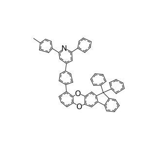 Cc1ccc(-c2cc(-c3ccc(-c4cccc5c4Oc4cc6c(cc4O5)-c4ccccc4C6(c4ccccc4)c4ccccc4)cc3)cc(-c3ccccc3)n2)cc1